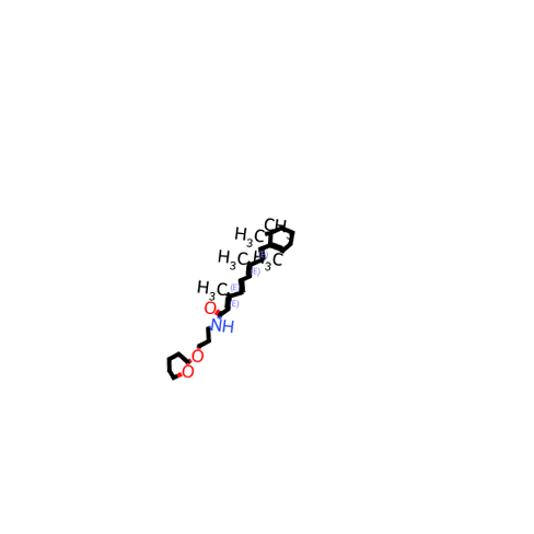 CC1=C(/C=C/C(C)=C/C=C/C(C)=C/C(=O)NCCCOC2CCCCO2)C(C)(C)CCC1